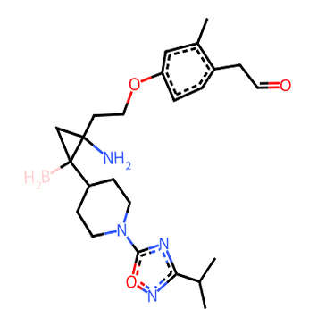 BC1(C2CCN(c3nc(C(C)C)no3)CC2)CC1(N)CCOc1ccc(CC=O)c(C)c1